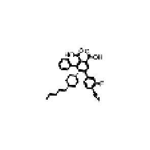 CCCCC[C@H]1CC[C@H](c2c(-c3ccc(C#N)c(F)c3)cc(C(=O)O)c(C(=O)O)c2-c2ccccc2)CC1